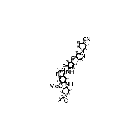 C=CC(=O)N1CCC(Nc2cc3c(Nc4ccc(Oc5ccnc(N6CCC(C#N)CC6)c5)cc4F)ncnc3cc2OC)CC1